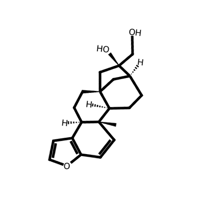 C[C@@]12C=Cc3occc3[C@H]1CC[C@@]13C[C@H](CC[C@H]12)[C@@](O)(CO)C3